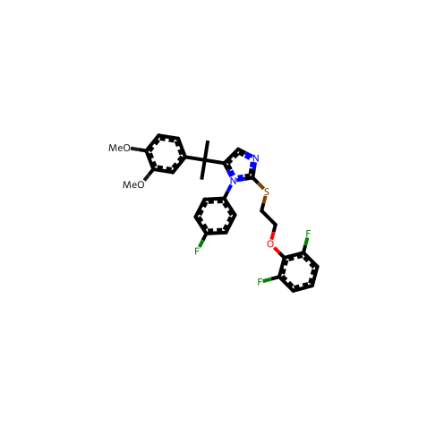 COc1ccc(C(C)(C)c2cnc(SCCOc3c(F)cccc3F)n2-c2ccc(F)cc2)cc1OC